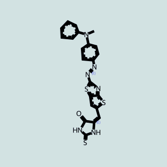 CN(c1ccccc1)c1ccc(/N=N/c2nc3sc(/C=C4/NC(=S)NC4=O)cc3s2)cc1